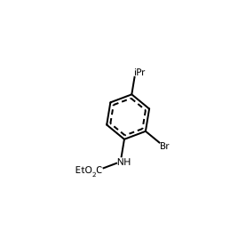 CCOC(=O)Nc1ccc(C(C)C)cc1Br